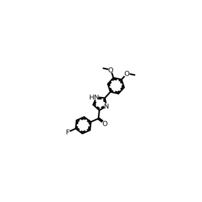 COc1ccc(-c2nc(C(=O)c3ccc(F)cc3)c[nH]2)cc1OC